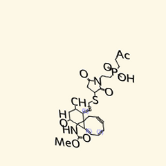 COC(=O)NC12/C3=C/C=C\C#CCC31/C(=C/CSC1CC(=O)N(CCP(=O)(O)CCC(C)=O)C1=O)C(C)CC2O